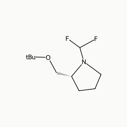 CC(C)(C)OC[C@H]1CCCN1C(F)F